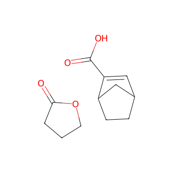 O=C(O)C1=CC2CCC1C2.O=C1CCCO1